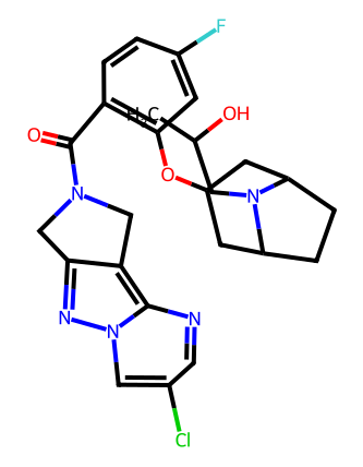 CC(O)CN1C2CCC1CC(Oc1cc(F)ccc1C(=O)N1Cc3nn4cc(Cl)cnc4c3C1)C2